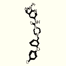 CC(C)n1ncc2cc(NC(=O)N3CCN(Cc4cccc(Oc5ccc(Cl)cc5)c4)CC3)cnc21